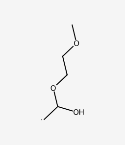 [CH2]C(O)OCCOC